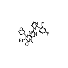 CC[C@@H]1C(=O)N(C)c2cnc(-n3ccnc3-c3ccc(F)cc3F)nc2N1C1CCOC1